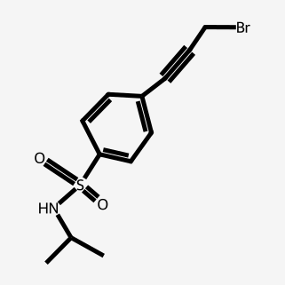 CC(C)NS(=O)(=O)c1ccc(C#CCBr)cc1